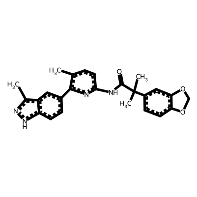 Cc1ccc(NC(=O)C(C)(C)c2ccc3c(c2)OCO3)nc1-c1ccc2[nH]nc(C)c2c1